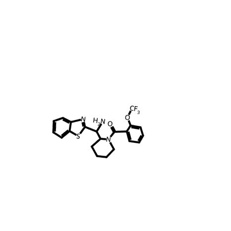 NC(c1nc2ccccc2s1)C1CCCCN1C(=O)c1ccccc1OC(F)(F)F